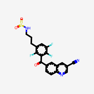 N#Cc1cnc2ccc(C(=O)c3c(F)c(F)cc(CCCN[SH](=O)=O)c3F)cc2c1